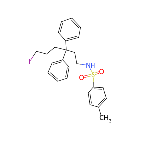 Cc1ccc(S(=O)(=O)NCCC(CCCI)(c2ccccc2)c2ccccc2)cc1